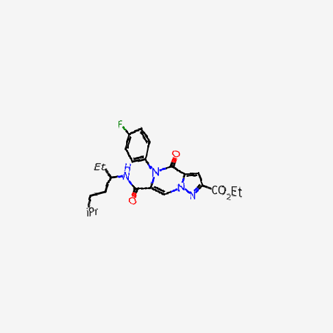 CCOC(=O)c1cc2c(=O)n(-c3ccc(F)cc3)c(C(=O)NC(CC)CCC(C)C)cn2n1